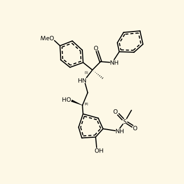 COc1ccc([C@](C)(NC[C@H](O)c2ccc(O)c(NS(C)(=O)=O)c2)C(=O)Nc2ccccc2)cc1